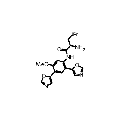 COc1cc(NC(=O)C(N)CC(C)C)c(-c2cnco2)cc1-c1cnco1